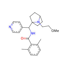 COCCN1C2CCC1(C(NC(=O)c1c(C)cccc1C)c1ccncc1)CC2